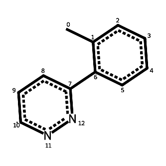 Cc1ccccc1-c1cc[c]nn1